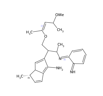 COC(C)/C=C(/C)OCC(C1=CC2C(=C1N)C=C[C@@H]2C)C(C)/N=C1\C=CC=CC1=N